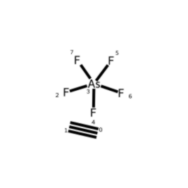 C#C.F[As](F)(F)(F)F